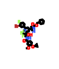 COc1cc(C(=O)NCC(O)(c2cc(C(C)(C)NC(=O)OCc3ccccc3)cc(-c3ccc(F)c(Br)c3)n2)C(F)(F)F)ccc1OC1CC1